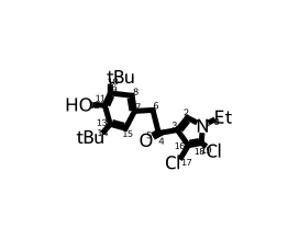 CCn1cc(C(=O)Cc2cc(C(C)(C)C)c(O)c(C(C)(C)C)c2)c(Cl)c1Cl